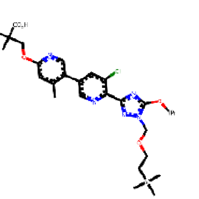 Cc1cc(OCC(C)(C)C(=O)O)ncc1-c1cnc(-c2nc(OC(C)C)n(COCC[Si](C)(C)C)n2)c(Cl)c1